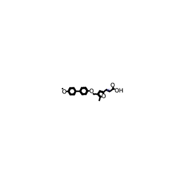 COc1ccc(-c2ccc(OCc3cc(/C=C/C(=O)O)oc3C)cc2)cc1